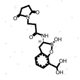 O=C(CCN1C(=O)CCC1=O)N[C@H]1Cc2cccc(C(O)O)c2OB1O